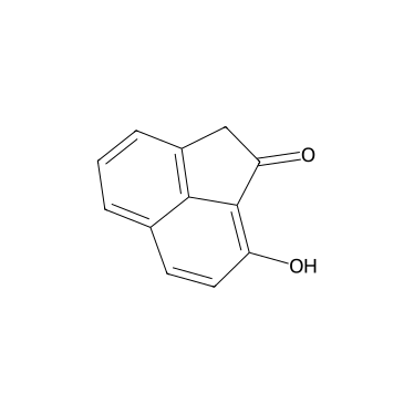 O=C1Cc2cccc3ccc(O)c1c23